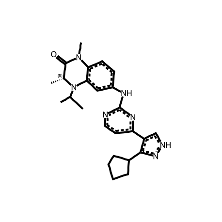 CC(C)N1c2cc(Nc3nccc(-c4c[nH]nc4C4CCCC4)n3)ccc2N(C)C(=O)[C@H]1C